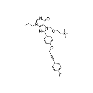 CCCn1cnc(=O)c2c1nc(-c1ccc(OCC#Cc3ccc(F)cc3)cc1)n2COCC[Si](C)(C)C